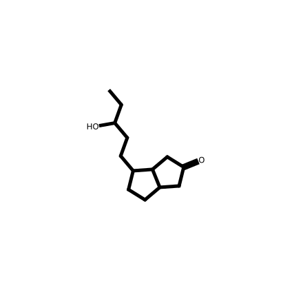 CCC(O)CCC1CCC2CC(=O)CC12